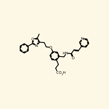 Cc1oc(-c2ccccc2)nc1CCOc1ccc(CCC(=O)O)c(CNC(=O)/C=C/c2cccnc2)c1